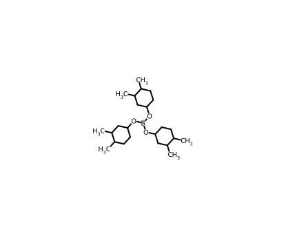 CC1CCC(OB(OC2CCC(C)C(C)C2)OC2CCC(C)C(C)C2)CC1C